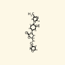 Cc1cn(-c2ccc(N3CC(COc4ccon4)OC3=O)cc2F)cn1